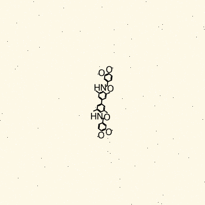 COc1ccc(C(=O)Nc2c(C)cc(-c3cc(C)c(NC(=O)c4ccc(OC)c(OC)c4)c(C)c3)cc2C)cc1OC